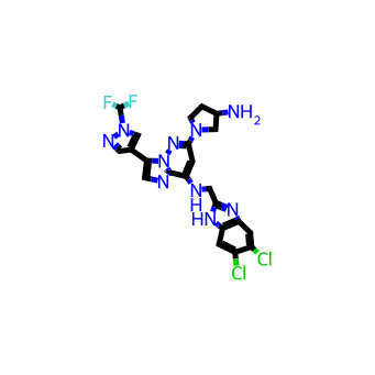 NC1CCN(c2cc(NCc3nc4cc(Cl)c(Cl)cc4[nH]3)c3ncc(-c4cnn(C(F)F)c4)n3n2)C1